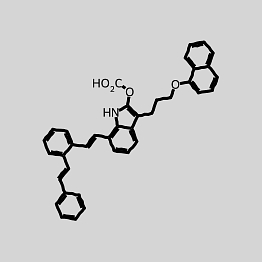 O=C(O)Oc1[nH]c2c(/C=C/c3ccccc3/C=C/c3ccccc3)cccc2c1CCCOc1cccc2ccccc12